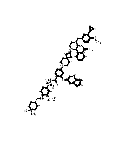 COc1ccc(CN2CCN(C3CC4(CCN(c5ccc(C(=O)NS(=O)(=O)c6ccc(NC[C@H]7CC[C@](C)(O)CC7)c([N+](=O)[O-])c6)c(Oc6cnc7[nH]ccc7c6)c5)CC4)C3)C(c3ccccc3C(C)C)C2)cc1C1CC1